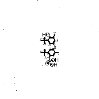 Cc1cc(OP(=O)(O)O)c(C(C)(C)C)cc1Sc1cc(C)c(O)c(C(C)(C)C)c1